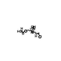 O=C(NO)c1ccc(CCCn2cc(CNC3CC3c3ccccc3)cn2)cc1.O=C(O)C(F)(F)F